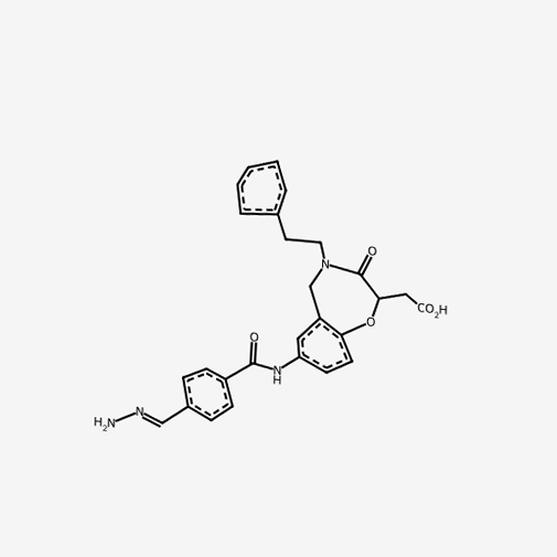 NN=Cc1ccc(C(=O)Nc2ccc3c(c2)CN(CCc2ccccc2)C(=O)C(CC(=O)O)O3)cc1